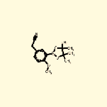 COc1ccc(CC#N)cc1B1OC(C)(C)C(C)(C)O1